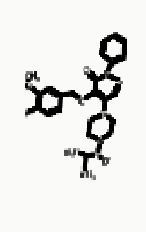 COc1cc(COc2c(N3CCN([S+]([O-])C(C)C)CC3)cnn(-c3ccccc3)c2=O)ccc1F